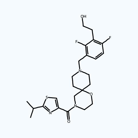 CC(C)c1nc(C(=O)N2CCOC3(CCN(Cc4ccc(F)c(CCO)c4F)CC3)C2)cs1